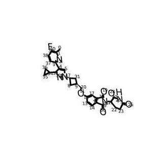 Cc1nc(-c2cn([C@H]3C[C@H](COc4ccc5c(c4)C(=O)N(C4CCC(=O)NC4=O)C5=O)C3)nc2C2CC2)ccc1F